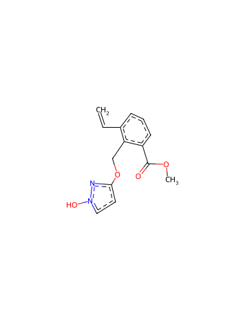 C=Cc1cccc(C(=O)OC)c1COc1ccn(O)n1